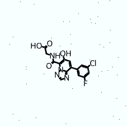 O=C(O)CNC(=O)c1c(O)cc(-c2cc(F)cc(Cl)c2)c2ncnn12